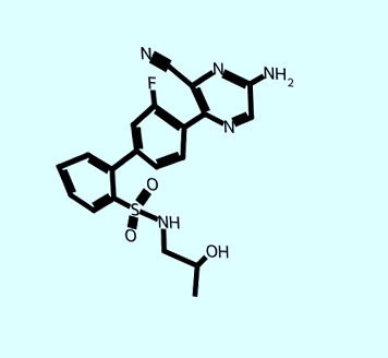 CC(O)CNS(=O)(=O)c1ccccc1-c1ccc(-c2ncc(N)nc2C#N)c(F)c1